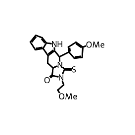 COCCN1C(=O)C2Cc3c([nH]c4ccccc34)C(c3ccc(OC)cc3)N2C1=S